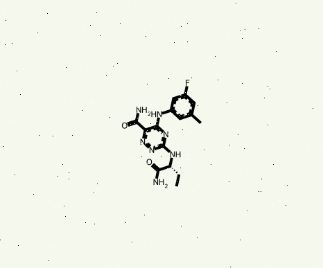 CC[C@@H](Nc1nnc(C(N)=O)c(Nc2cc(C)cc(F)c2)n1)C(N)=O